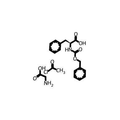 CC(=O)Cl.NCC(=O)O.O=C(N[C@@H](Cc1ccccc1)C(=O)O)OCc1ccccc1